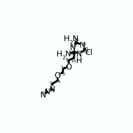 [N-]=[N+]=NCCOCCOCCC1(N)N=C(N)N=C(Cl)N1